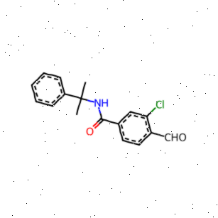 CC(C)(NC(=O)c1ccc(C=O)c(Cl)c1)c1ccccc1